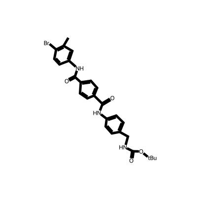 Cc1cc(NC(=O)c2ccc(C(=O)Nc3ccc(CNC(=O)OC(C)(C)C)cc3)cc2)ccc1Br